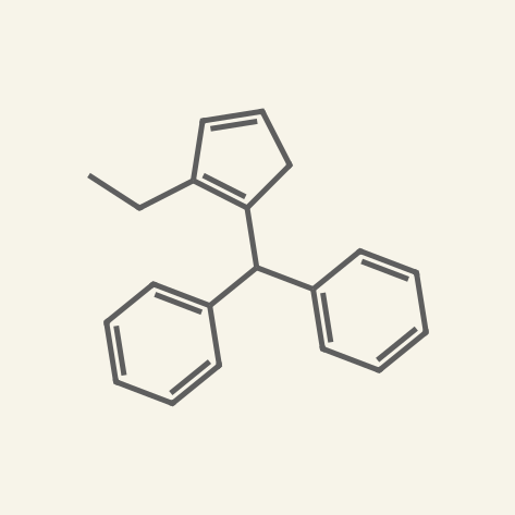 CCC1=C(C(c2ccccc2)c2ccccc2)CC=C1